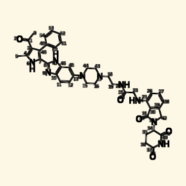 CC(=O)c1c(C)[nH]c(-c2nc3ccc(N4CCN(CCNC(=O)CNc5cccc6c5C(=O)N(C5CCC(=O)NC5=O)C6)CC4)cc3[nH]2)c1-c1ccccc1